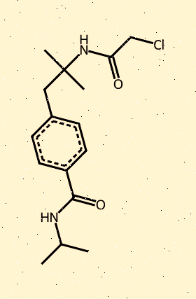 CC(C)NC(=O)c1ccc(CC(C)(C)NC(=O)CCl)cc1